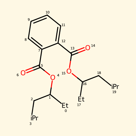 CCC(CC(C)C)OC(=O)c1ccccc1C(=O)OC(CC)CC(C)C